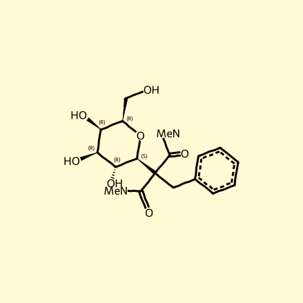 CNC(=O)C(Cc1ccccc1)(C(=O)NC)[C@@H]1O[C@H](CO)[C@H](O)[C@H](O)[C@H]1O